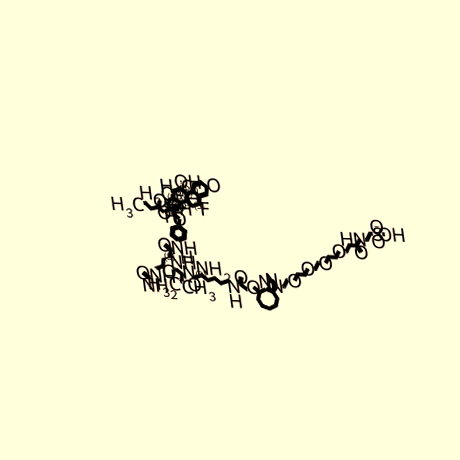 CCCC1O[C@@H]2C[C@H]3[C@@H]4C[C@H](F)C5=CC(=O)C=C[C@]5(C)[C@@]4(F)[C@@H](O)C[C@]3(C)[C@]2(C(=O)COc2ccc(NC(=O)[C@H](CCCNC(N)=O)NC(=O)C(NC(=O)[C@H](N)CCCCNC(=O)COC3CCCCCc4c3nnn4CCOCCOCCOCCOCCC(=O)NCCS(=O)(=O)O)C(C)C)cc2)O1